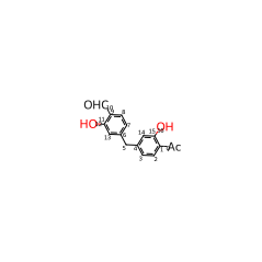 CC(=O)c1ccc(Cc2ccc(C=O)c(O)c2)cc1O